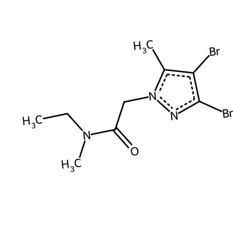 CCN(C)C(=O)Cn1nc(Br)c(Br)c1C